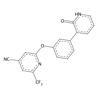 N#Cc1cc(Oc2cccc(-c3ccc[nH]c3=O)c2)nc(C(F)(F)F)c1